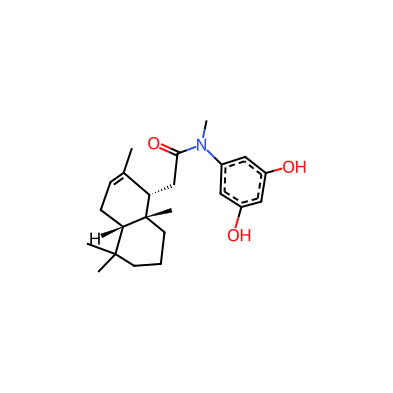 CC1=CC[C@H]2C(C)(C)CCC[C@@]2(C)[C@H]1CC(=O)N(C)c1cc(O)cc(O)c1